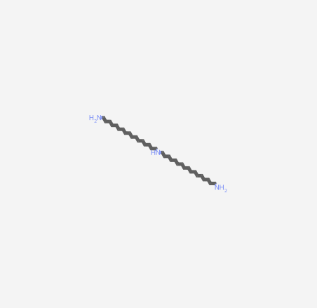 NCCCCCCCCCCCCCCCCCNCCCCCCCCCCCCCCCCCN